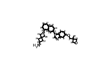 CC1(COc2ccc3c(c2)ncn3-c2ccc3cccc(N4CC5(CC(N)C5)C4)c3n2)COC1